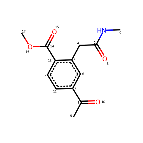 CNC(=O)Cc1cc(C(C)=O)ccc1C(=O)OC